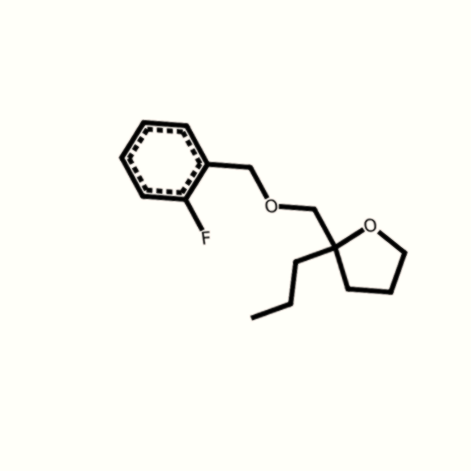 CCCC1(COCc2ccccc2F)CCCO1